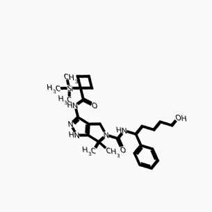 CC1(C)c2[nH]nc(NC(=O)C3([Si](C)(C)C)CCC3)c2CN1C(=O)NC(CCCCO)c1ccccc1